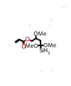 C=CC(=O)OCC(CC([SiH3])(OC)OC)OC